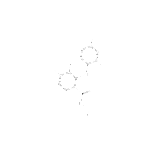 CONC(=O)c1ccc(F)c(F)c1Nc1ccc(I)cc1F